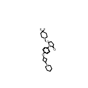 O=C1CC[C@@H](CN2CCC(F)(F)CC2)N1c1ccc(OC2CC(N3CCCCC3)C2)cc1